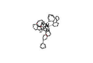 c1ccc(-c2ccc(-c3nc(-c4ccccc4)nc(-c4cccc5oc6cccc(-c7nc(-c8ccccc8)c8sc9ccccc9c8n7)c6c45)n3)cc2)cc1